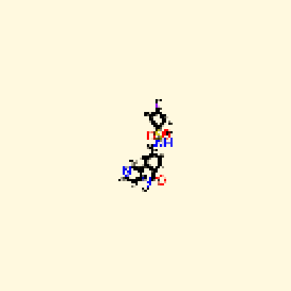 CN(C(=O)c1ccc(CNS(=O)(=O)c2ccc(I)cc2)cc1)c1ccncc1